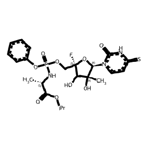 CC(C)OC(=O)[C@H](C)NP(=O)(OC[C@@]1(F)O[C@@H](n2ccc(=S)[nH]c2=O)[C@](C)(O)C1O)Oc1ccccc1